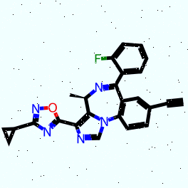 C#Cc1ccc2c(c1)C(c1ccccc1F)=N[C@H](C)c1c(-c3nc(C4CC4)no3)ncn1-2